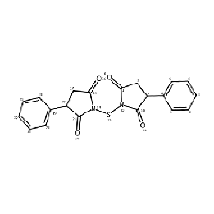 O=C1CC(c2ccccc2)C(=O)N1SN1C(=O)CC(c2ccccc2)C1=O